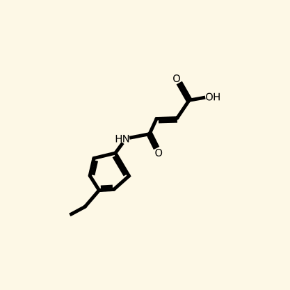 CCc1ccc(NC(=O)/C=C/C(=O)O)cc1